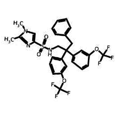 Cc1nc(S(=O)(=O)NCC(Cc2ccccc2)(c2cccc(OC(F)(F)F)c2)c2cccc(OC(F)(F)F)c2)cn1C